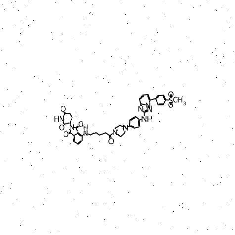 CS(=O)(=O)c1ccc(-c2cccc3nc(Nc4ccc(N5CCN(C(=O)CCCCNc6cccc7c6C(=O)N(C6CCC(=O)NC6=O)C7=O)CC5)cc4)nn23)cc1